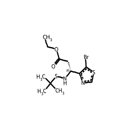 CCOC(=O)C[C@@H](NSC(C)(C)C)c1ncsc1Br